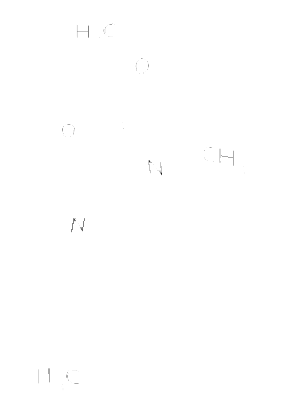 COC(=O)N(C)c1ccc(C)cn1